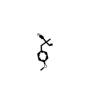 C=CC(C)(C#N)Cc1ccc(OC)cc1